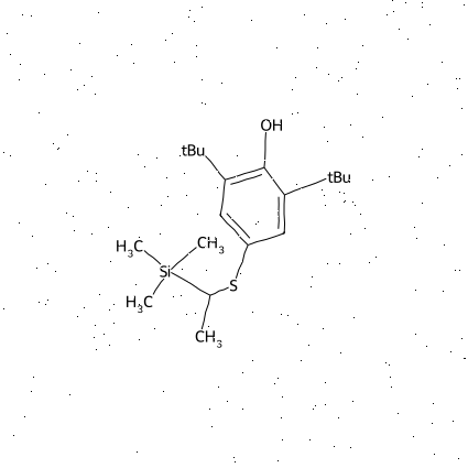 CC(Sc1cc(C(C)(C)C)c(O)c(C(C)(C)C)c1)[Si](C)(C)C